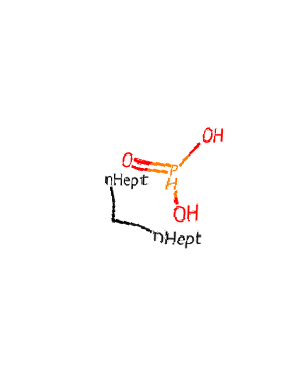 CCCCCCCCCCCCCCC.O=[PH](O)O